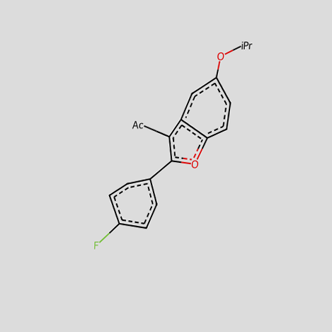 CC(=O)c1c(-c2ccc(F)cc2)oc2ccc(OC(C)C)cc12